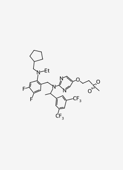 CCN(CC1CCCC1)c1cc(F)c(F)cc1CN(c1ncc(OCCS(C)(=O)=O)cn1)C(C)c1cc(C(F)(F)F)cc(C(F)(F)F)c1